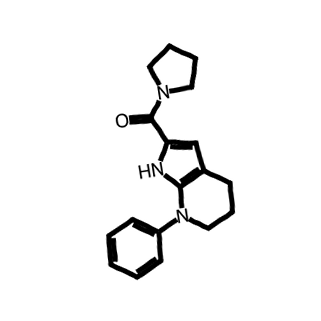 O=C(c1cc2c([nH]1)N(c1ccccc1)CCC2)N1CCCC1